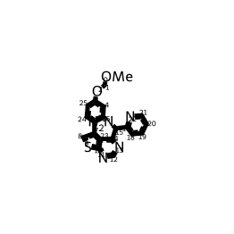 COCOc1ccc(-c2csc3ncnc(C(N)c4ccccn4)c23)cc1